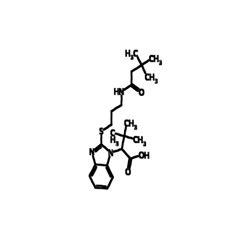 CC(C)(C)CC(=O)NCCCSc1nc2ccccc2n1C(C(=O)O)C(C)(C)C